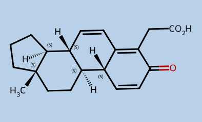 C[C@@]12CCC[C@H]1[C@@H]1C=CC3=C(CC(=O)O)C(=O)C=C[C@@H]3[C@H]1CC2